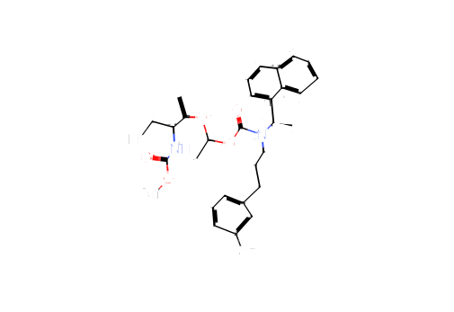 C=C(OC(C)OC(=O)N(CCCc1cccc(C(F)(F)F)c1)[C@H](C)c1cccc2ccccc12)C(CC(C)C)NC(=O)OC(C)(C)C